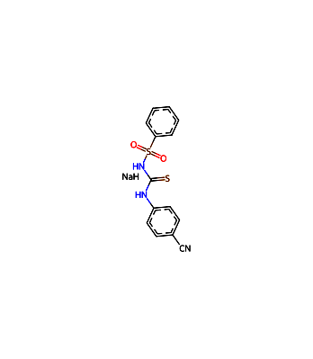 N#Cc1ccc(NC(=S)NS(=O)(=O)c2ccccc2)cc1.[NaH]